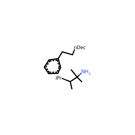 CC(C)C(C)C(C)(C)N.CCCCCCCCCCCCc1ccccc1